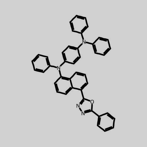 c1ccc(-c2nnc(-c3cccc4c(N(c5ccccc5)c5ccc(N(c6ccccc6)c6ccccc6)cc5)cccc34)o2)cc1